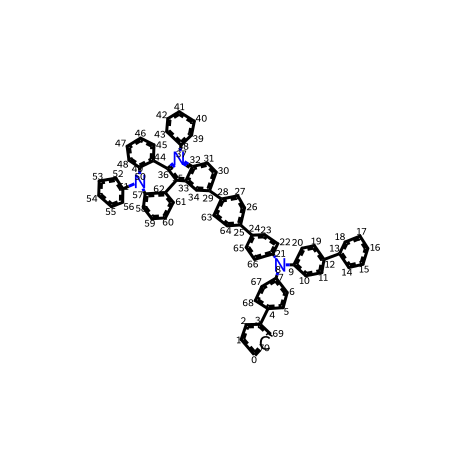 c1ccc(-c2ccc(N(c3ccc(-c4ccccc4)cc3)c3ccc(-c4ccc(-c5ccc6c(c5)c5c(n6-c6ccccc6)-c6ccccc6N(c6ccccc6)c6ccccc6-5)cc4)cc3)cc2)cc1